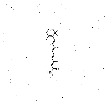 CNC(=O)/C=C(C)/C=C/C=C(C)/C=C/C1=C(C)CCCC1(C)C